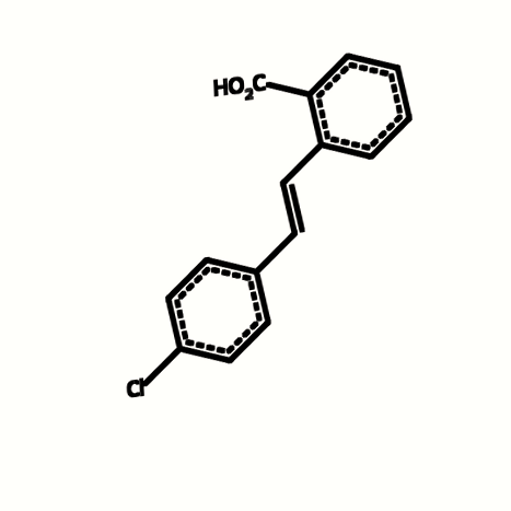 O=C(O)c1ccccc1C=Cc1ccc(Cl)cc1